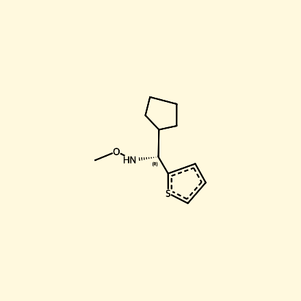 CON[C@@H](c1cccs1)C1CCCC1